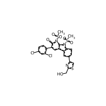 CS(=O)(=O)n1c(=O)c(-c2ccc(Cl)cc2Cl)cc2c3cc(-c4csc(CO)n4)ccc3n(S(C)(=O)=O)c21